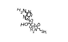 Nc1ncnc2c1ncn2[C@@H]1O[C@H](COC(=O)[C@H](N)CCS)C(O)C1O